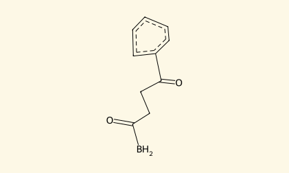 BC(=O)CCC(=O)c1ccccc1